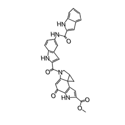 COC(=O)c1cc2c([nH]1)C(=O)C=C1N(C(=O)c3cc4cc(NC(=O)c5cc6ccccc6[nH]5)ccc4[nH]3)CC3CC123